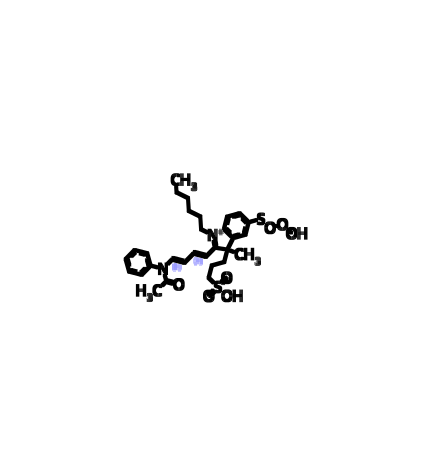 CCCCCC[N+]1=C(/C=C/C=C/N(C(C)=O)c2ccccc2)C(C)(CCCS(=O)(=O)O)c2cc(SOOO)ccc21